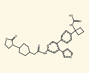 O=C(O)NC1(c2ccc(-c3cnc(NC(=O)CC4CCC(N5CCOC5=O)CC4)cc3-c3ccsc3)cc2)CCC1